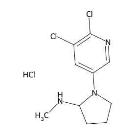 CNC1CCCN1c1cnc(Cl)c(Cl)c1.Cl